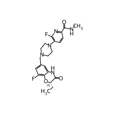 CC[C@@H]1Oc2c(F)cc(CN3CCN(c4ccc(C(=O)NC)nc4F)CC3)cc2NC1=O